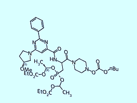 CCCCOC(=O)ON1CCN(C(=O)C(CP(=O)(OC(C)OC(=O)OCC)O[C@H](C)OC(=O)OCC)NC(=O)c2cc(N3CC[C@H](OC)C3)nc(-c3ccccc3)n2)CC1